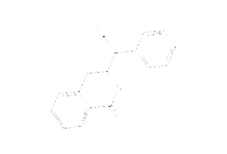 O=C1NC(C(c2ccccc2)C(F)(F)F)Cc2ccccc21